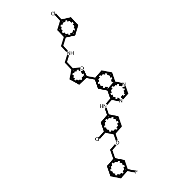 Fc1cccc(COc2ccc(Nc3ncnc4ccc(-c5ccc(CNCc6cccc(Cl)c6)o5)cc34)cc2Cl)c1